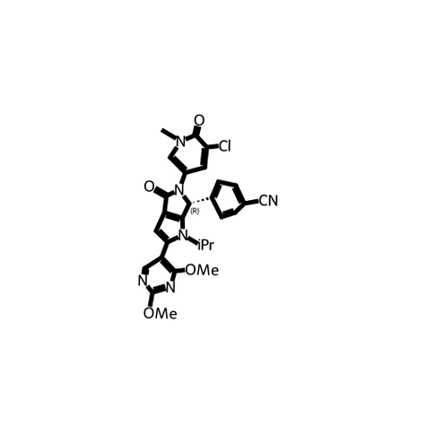 COc1ncc(-c2cc3c(n2C(C)C)[C@@H](c2ccc(C#N)cc2)N(c2cc(Cl)c(=O)n(C)c2)C3=O)c(OC)n1